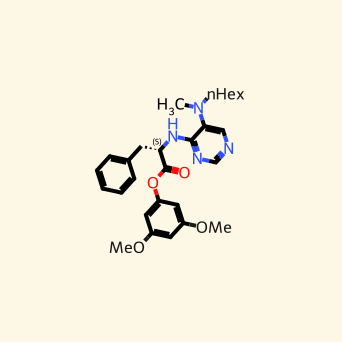 CCCCCCN(C)c1cncnc1N[C@@H](Cc1ccccc1)C(=O)Oc1cc(OC)cc(OC)c1